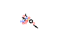 CC#CCOc1ccc(S(=O)(=O)N2CC(C)OC(C)(C)C2C(=O)NO)cc1